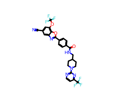 N#Cc1cc(OC(F)(F)F)c2oc(-c3ccc(C(=O)NCC4CCN(c5nccc(C(F)(F)F)n5)CC4)cc3)nc2c1